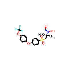 CC(C)(CS(=O)(=O)c1ccc(Oc2ccc(OC(F)(F)F)cc2)cc1)N(O)C=O